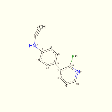 C#CNc1ccc(-c2cccnc2F)cc1